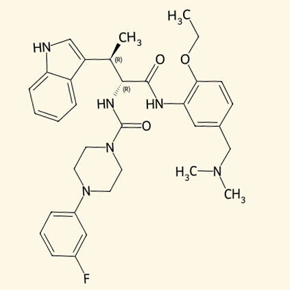 CCOc1ccc(CN(C)C)cc1NC(=O)[C@H](NC(=O)N1CCN(c2cccc(F)c2)CC1)[C@H](C)c1c[nH]c2ccccc12